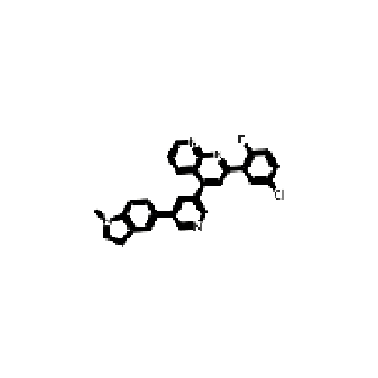 CN1CCc2cc(-c3cncc(-c4cc(-c5cc(Cl)ccc5F)nc5ncccc45)c3)ccc21